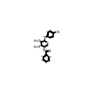 CC(=O)O[C@@H]1[C@@H](OC(C)=O)[C@@H](Sc2ccc(C#N)cc2)SC[C@@H]1OC(=O)c1ccccc1